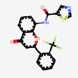 O=C(Nc1cccc2c(=O)cc(-c3ccccc3C(F)(F)F)oc12)c1cncs1